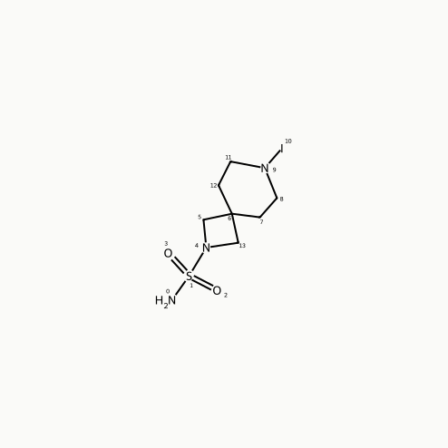 NS(=O)(=O)N1CC2(CCN(I)CC2)C1